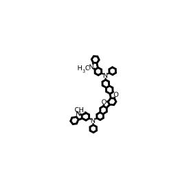 Cn1c2ccccc2c2cc(N(c3ccccc3)c3ccc4cc5c(cc4c3)oc3c5ccc4oc5cc6cc(N(c7ccccc7)c7ccc8c(c7)c7ccccc7n8C)ccc6cc5c43)ccc21